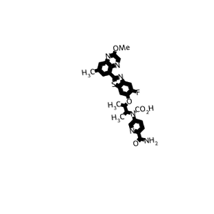 COc1cnc2c(-c3nc4cc(F)c(OC(C)C(C)N(C(=O)O)c5ccc(C(N)=O)nc5)cc4s3)cc(C)cc2n1